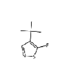 CC(C)(C)c1cnsc1F